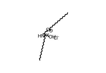 CCCCCCCCCCCCCCCC(=O)OCCC1CNC(CCCCCCCCCCCCCCC)=[N+]1CCO.[Cl-]